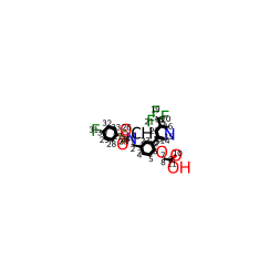 CN(Cc1ccc(OCC(=O)O)c(-c2cncc(C(F)(F)F)c2)c1)S(=O)(=O)c1ccc(F)cc1